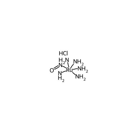 Cl.[NH2][Ru]([NH2])([NH2])([NH2])([NH2])[N]=O